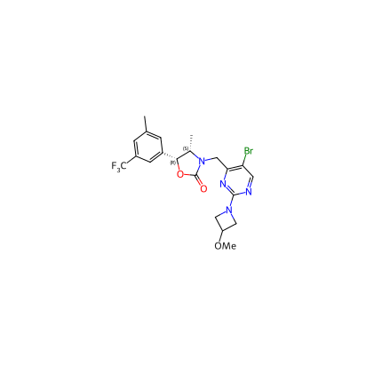 COC1CN(c2ncc(Br)c(CN3C(=O)O[C@H](c4cc(C)cc(C(F)(F)F)c4)[C@@H]3C)n2)C1